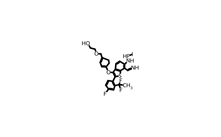 CC(F)(F)c1cc(F)ccc1-c1sc2c(C=N)c(NPI)ccc2c1OC1=CC=C(COCCO)CC1